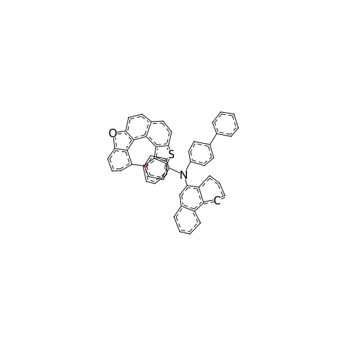 c1ccc(-c2ccc(N(c3ccc(-c4cccc5oc6ccc7ccc8sc9ccccc9c8c7c6c45)cc3)c3cc4ccccc4c4ccccc34)cc2)cc1